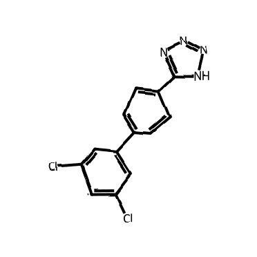 Clc1[c]c(Cl)cc(-c2ccc(-c3nnn[nH]3)cc2)c1